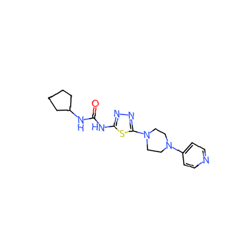 O=C(Nc1nnc(N2CCN(c3ccncc3)CC2)s1)NC1CCCC1